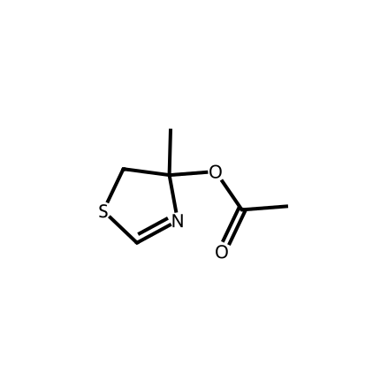 CC(=O)OC1(C)CSC=N1